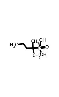 CCCC(C)(C)P(=O)(O)O